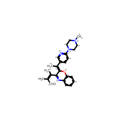 C/C(C=O)=C(\C)C1=Nc2ccccc2O/C1=C(/C)c1ccc(N2CCN(C)CC2)nc1